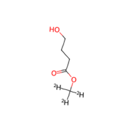 [2H]C([2H])([2H])OC(=O)CCCO